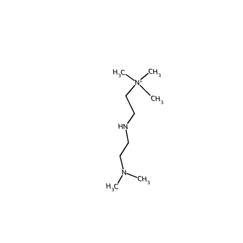 CN(C)CCNCC[N+](C)(C)C